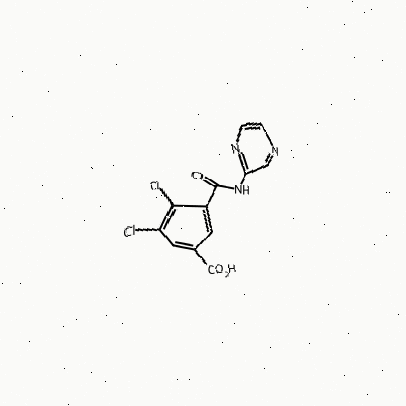 O=C(O)c1cc(Cl)c(Cl)c(C(=O)Nc2cnccn2)c1